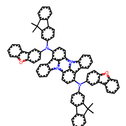 CC1(C)c2ccccc2-c2ccc(N(c3ccc4oc5ccccc5c4c3)c3ccc4c5c3c3ccccc3n5c3ccc(N(c5ccc6c(c5)C(C)(C)c5ccccc5-6)c5ccc6oc7ccccc7c6c5)c5c6ccccc6n4c53)cc21